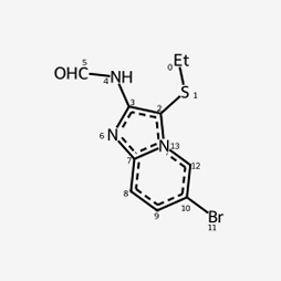 CCSc1c(NC=O)nc2ccc(Br)cn12